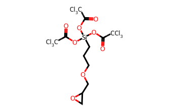 O=C(O[Si](CCCOCC1CO1)(OC(=O)C(Cl)(Cl)Cl)OC(=O)C(Cl)(Cl)Cl)C(Cl)(Cl)Cl